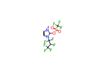 CN1C=CN(C(F)(F)C(F)C(F)(F)F)C1OS(=O)(=O)C(F)(F)F